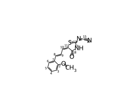 COc1ccccc1C=CC=C1SC(=NC#N)NC1=O